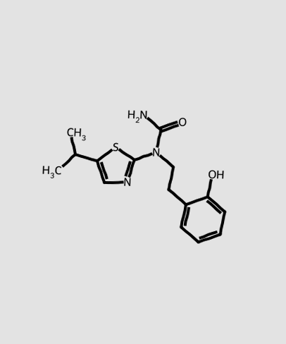 CC(C)c1cnc(N(CCc2ccccc2O)C(N)=O)s1